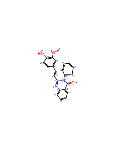 COc1cc(/C=C/c2nc3ccccc3c(=O)n2-c2ccccc2)ccc1O